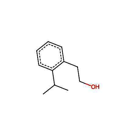 CC(C)c1ccccc1CCO